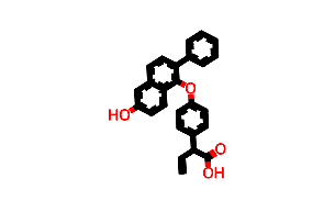 C=CC(C(=O)O)c1ccc(Oc2c(-c3ccccc3)ccc3cc(O)ccc23)cc1